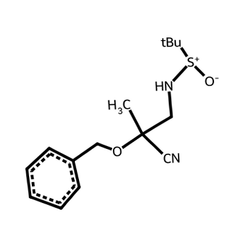 CC(C#N)(CN[S+]([O-])C(C)(C)C)OCc1ccccc1